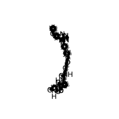 Nc1ncnc2c1c(-c1ccc(Oc3ccccc3)cc1)cn2[C@H]1CC[C@H](N2CCN(CCOCCOCCNC(=O)CNc3cccc4c3C(=O)N(C3CCC(=O)NC3=O)C4=O)CC2)CC1